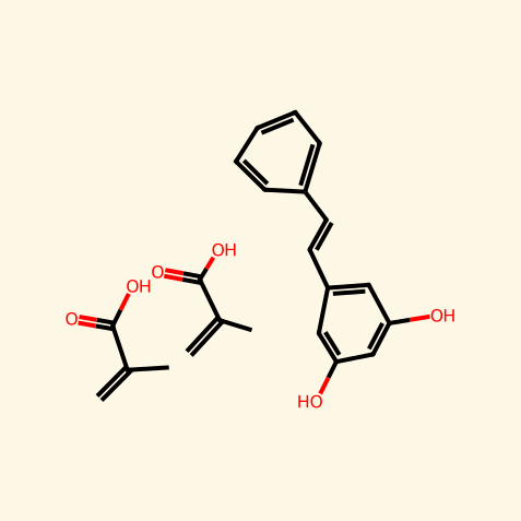 C=C(C)C(=O)O.C=C(C)C(=O)O.Oc1cc(O)cc(C=Cc2ccccc2)c1